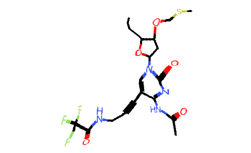 CCC1OC(n2cc(C#CCNC(=O)C(F)(F)F)c(NC(C)=O)nc2=O)CC1OCSC